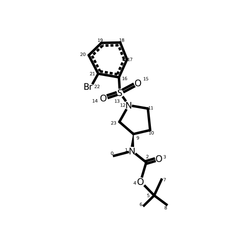 CN(C(=O)OC(C)(C)C)[C@@H]1CCN(S(=O)(=O)c2ccccc2Br)C1